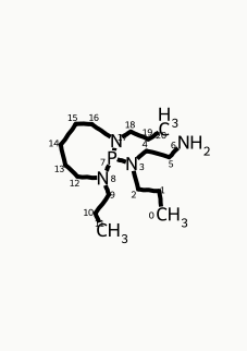 CCCN(CCN)P1N(CCC)CCCCCN1CCC